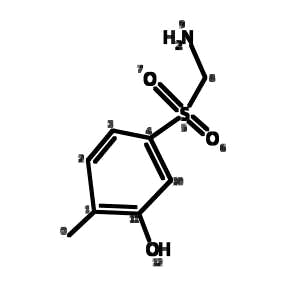 Cc1ccc(S(=O)(=O)CN)cc1O